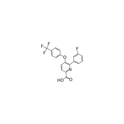 O=C(O)c1ccc(Oc2ccc(C(F)(F)F)cc2)c(-c2cccc(F)c2)n1